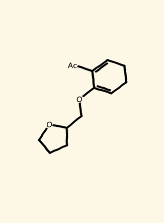 CC(=O)C1=CCCC=C1OCC1CCCO1